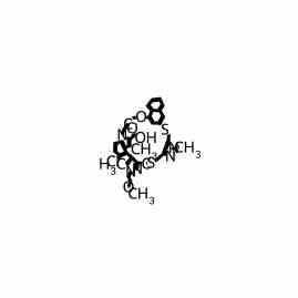 COCCn1nc2c(c1C)-c1c(Cl)ccc3c1c(C)c(C(=O)O)n3CCCOc1cc(cc3ccccc13)SCc1cc(nn1C)CSC2